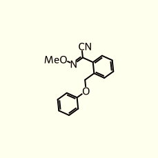 CON=C(C#N)c1ccccc1COc1ccccc1